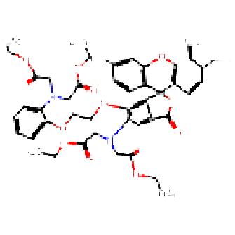 C=CC(/C=C\C1=COc2cc(OC(C)=O)ccc2C12OC(=O)c1cc(N(CC(=O)OCOC(C)=O)CC(=O)OCOC(C)=O)c(OCCOc3ccccc3N(CC(=O)OCOC(C)=O)CC(=O)OCOC(C)=O)cc12)OC(C)=O